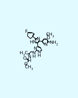 COCC(=O)N[C@@H](C)CNC1=NC(c2[nH]c(C3=CC=C(F)CC3)nc2-c2cnc(N)c(OC)c2)=CCN1